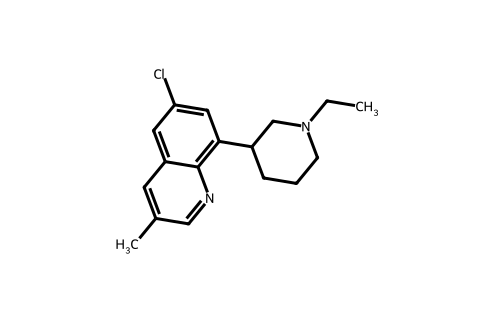 CCN1CCCC(c2cc(Cl)cc3cc(C)cnc23)C1